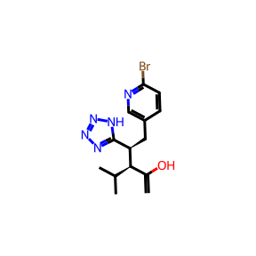 C=C(O)[C@@H](C(C)C)[C@H](Cc1ccc(Br)nc1)c1nnn[nH]1